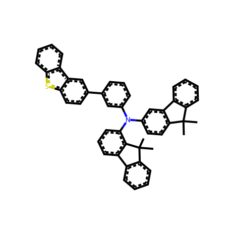 CC1(C)c2ccccc2-c2cc(N(c3cccc(-c4ccc5sc6ccccc6c5c4)c3)c3cccc4c3C(C)(C)c3ccccc3-4)ccc21